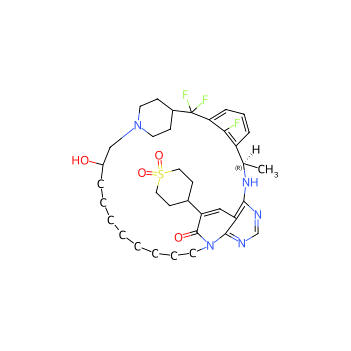 C[C@H]1Nc2ncnc3c2cc(C2CCS(=O)(=O)CC2)c(=O)n3CCCCCCCCC(O)CN2CCC(CC2)C(F)(F)c2cccc1c2F